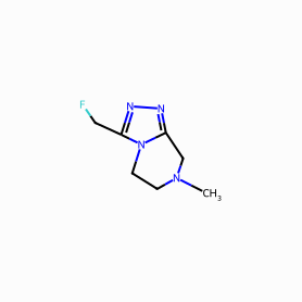 CN1CCn2c(CF)nnc2C1